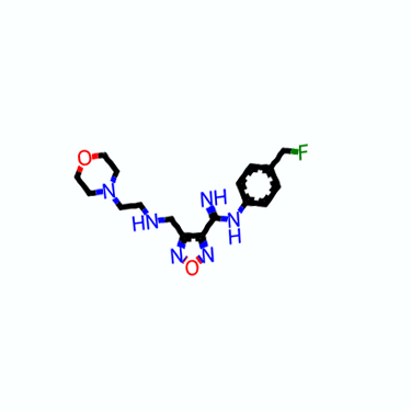 N=C(Nc1ccc(CF)cc1)c1nonc1CNCCN1CCOCC1